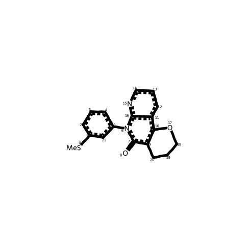 CSc1cccc(-n2c(=O)c3c(c4cccnc42)OCCC3)c1